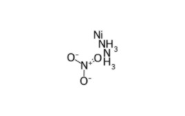 N.N.O=[N+]([O-])[O-].[Ni]